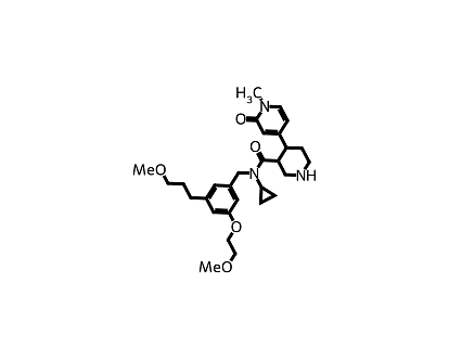 COCCCc1cc(CN(C(=O)C2CNCCC2c2ccn(C)c(=O)c2)C2CC2)cc(OCCOC)c1